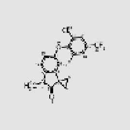 CN1C(=O)C2(CC2)c2cc(Oc3c(F)cc(C(F)(F)F)cc3Cl)ccc21